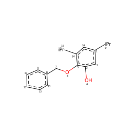 CC(C)c1cc(O)c(OCc2ccccc2)c(C(C)C)c1